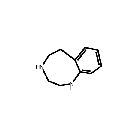 c1ccc2c(c1)CCNCCN2